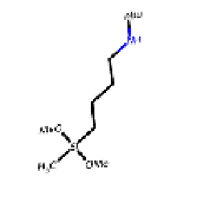 CCCCNCCCC[Si](C)(OC)OC